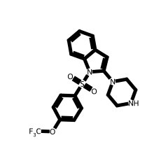 O=S(=O)(c1ccc(OC(F)(F)F)cc1)n1c(N2CCNCC2)cc2ccccc21